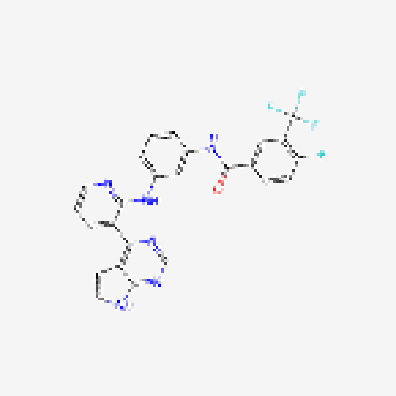 O=C(Nc1cccc(Nc2ncccc2-c2ncnc3[nH]ccc23)c1)c1ccc(F)c(C(F)(F)F)c1